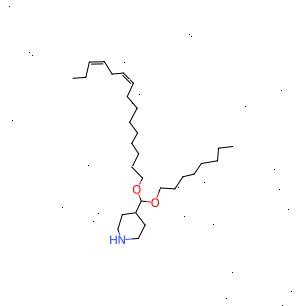 CC/C=C\C/C=C\CCCCCCCCOC(OCCCCCCCC)C1CCNCC1